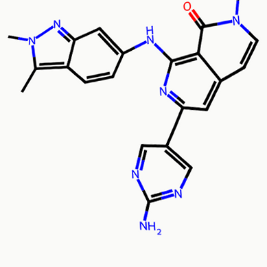 Cc1c2ccc(Nc3nc(-c4cnc(N)nc4)cc4ccn(C)c(=O)c34)cc2nn1C